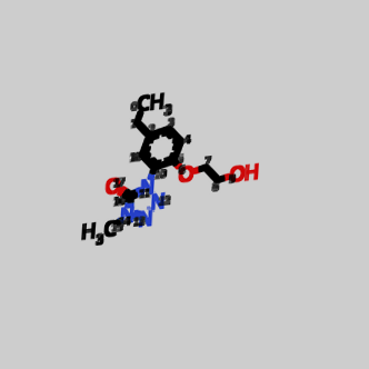 CCc1ccc(OCCO)c(-n2nnn(C)c2=O)c1